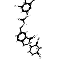 Cc1cc(NC(=O)OCc2ccc3c(c2)C(=O)N(C2CCC(=O)NC2=O)C3)cc(F)c1C